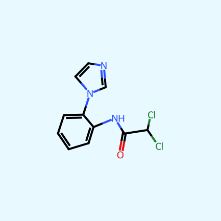 O=C(Nc1ccccc1-n1ccnc1)C(Cl)Cl